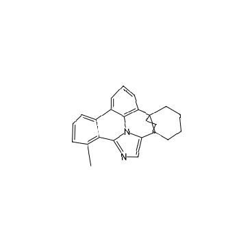 Cc1cccc2c3cccc4c3n3c(cnc3c12)C12CCCCC41CCC2